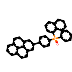 O=P(c1ccccc1)(c1ccc(-c2cc3ccc4cccc5ccc(c2)c3c45)cc1)c1cccc2ccccc12